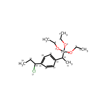 CCO[Si](OCC)(OCC)C(C)c1ccc(C(Cl)CC)cc1